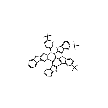 CC(C)(C)c1ccc(N2B3c4oc5ccc(C(C)(C)C)cc5c4-n4c5ccc(C(C)(C)C)cc5c5c6sc7ccccc7c6c(c3c54)-c3cc4c(cc32)sc2ccccc24)cc1